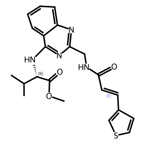 COC(=O)[C@@H](Nc1nc(CNC(=O)/C=C/c2ccsc2)nc2ccccc12)C(C)C